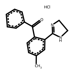 Cc1ccc(C(=O)c2ccccc2)c(C2=NCCN2)c1.Cl